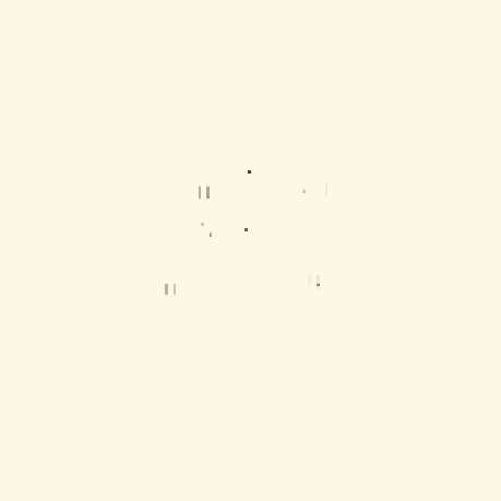 Cc1nnnn1-c1nccs1.Cl